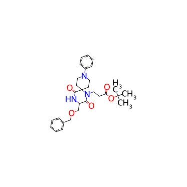 CC(C)(C)OC(=O)CCN1C(=O)C(COCc2ccccc2)NC(=O)C12CCN(c1ccccc1)CC2